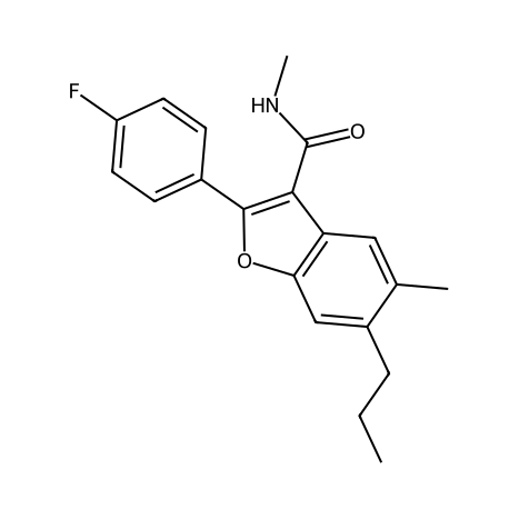 CCCc1cc2oc(-c3ccc(F)cc3)c(C(=O)NC)c2cc1C